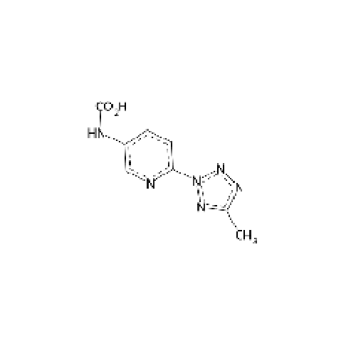 Cc1nnn(-c2ccc(NC(=O)O)cn2)n1